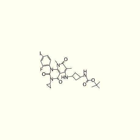 Cc1c(NC2CC(NC(=O)OC(C)(C)C)C2)c2c(=O)n(C3CC3)c(=O)n(-c3ccc(I)cc3F)c2n(C)c1=O